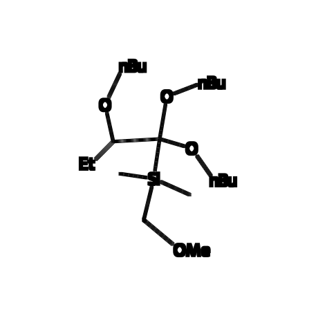 CCCCOC(CC)C(OCCCC)(OCCCC)[Si](C)(C)COC